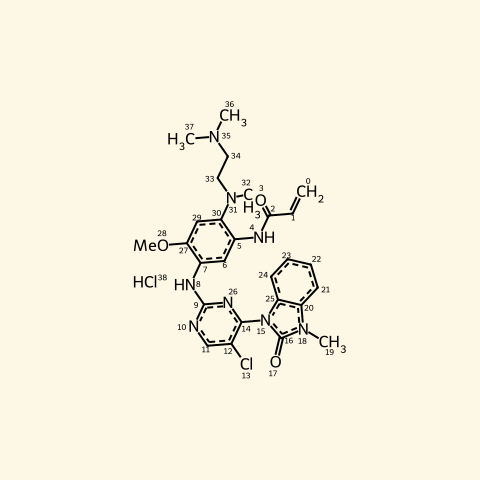 C=CC(=O)Nc1cc(Nc2ncc(Cl)c(-n3c(=O)n(C)c4ccccc43)n2)c(OC)cc1N(C)CCN(C)C.Cl